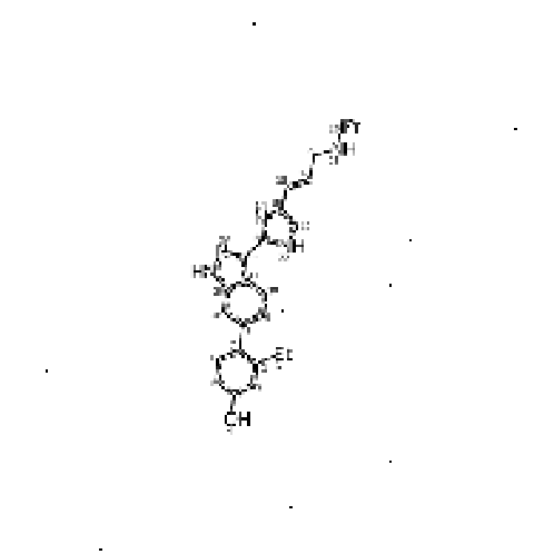 CCc1cc(O)ccc1-c1ccc2c(-c3nc(/C=C/CNC(C)C)c[nH]3)n[nH]c2c1